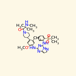 CNC(C)(C)C(=O)N1CCC(c2cc(OC)c(Nc3nc(Nc4ccccc4S(=O)(=O)C(C)C)n4nccc4n3)cc2C)CC1